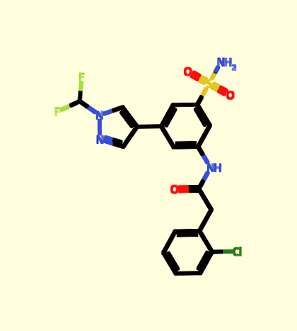 NS(=O)(=O)c1cc(NC(=O)Cc2ccccc2Cl)cc(-c2cnn(C(F)F)c2)c1